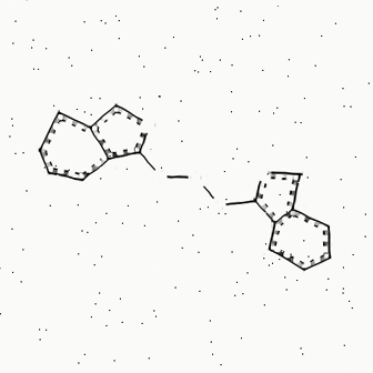 c1ccc2c(SOSc3occ4ccccc34)occ2c1